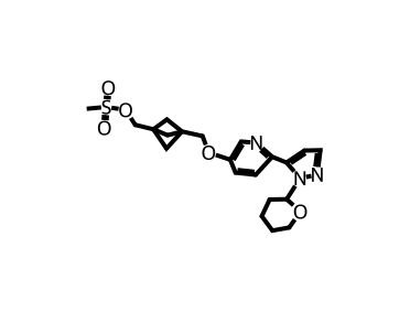 CS(=O)(=O)OCC12CC(COc3ccc(-c4ccnn4C4CCCCO4)nc3)(C1)C2